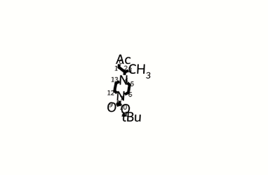 CC(=O)CC(C)N1CCN(C(=O)OC(C)(C)C)CC1